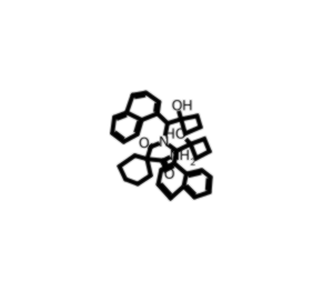 NC(=O)C1(C(=O)N(C(c2cccc3ccccc23)C2(O)CCC2)C(c2cccc3ccccc23)C2(O)CCC2)CCCCC1